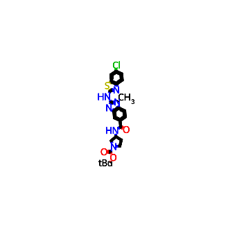 Cn1c(Nc2nc3ccc(Cl)cc3s2)nc2cc(C(=O)NC3CCN(C(=O)OC(C)(C)C)C3)ccc21